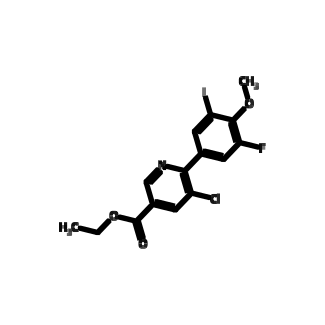 CCOC(=O)c1cnc(-c2cc(F)c(OC)c(I)c2)c(Cl)c1